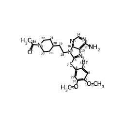 COc1cc(Br)c(Sc2nc3c(N)ncnc3n2CCC2CCN(C(C)=O)CC2)cc1OC